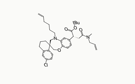 C=CCCCCN1C[C@@]2(CCCc3cc(Cl)ccc32)COc2ccc([C@@H](CC(=O)N(C)CC=C)C(=O)OC(C)(C)C)cc21